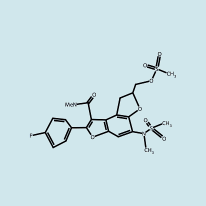 CNC(=O)c1c(-c2ccc(F)cc2)oc2cc(N(C)S(C)(=O)=O)c3c(c12)CC(COS(C)(=O)=O)O3